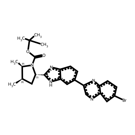 C[C@@H]1C[C@@H](c2nc3ccc(-c4cnc5cc(Br)ccc5n4)cc3[nH]2)N(C(=O)OC(C)(C)C)[C@@H]1C